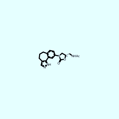 CC(=O)NC[C@H]1CN(c2ccc3c(c2)-c2[nH]ncc2CCC3)C(=O)O1